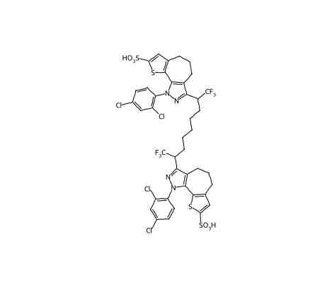 O=S(=O)(O)c1cc2c(s1)-c1c(c(C(CCCCCC(c3nn(-c4ccc(Cl)cc4Cl)c4c3CCCc3cc(S(=O)(=O)O)sc3-4)C(F)(F)F)C(F)(F)F)nn1-c1ccc(Cl)cc1Cl)CCC2